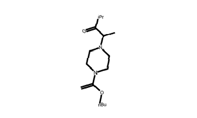 C=C(OCCCC)N1CCN(C(C)C(=O)C(C)C)CC1